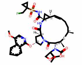 COc1cnc(O[C@@H]2C[C@H]3C(=O)N[C@]4(C(=O)NS(=O)(=O)C5(CF)CC5)C[C@H]4C=CCC[C@@H](C)C[C@@H](C)[C@H](N(C(=O)O)C4(C(C)C)COC4)C(=O)N3C2)c2ccccc12